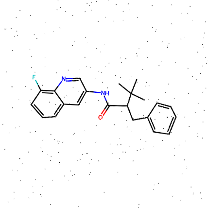 CC(C)(C)C(Cc1ccccc1)C(=O)Nc1cnc2c(F)cccc2c1